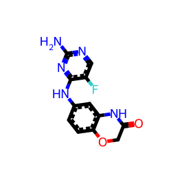 Nc1ncc(F)c(Nc2ccc3c(c2)NC(=O)CO3)n1